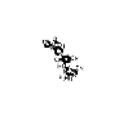 CCNc1nc(Nc2cc(C#N)cc(N3CC[C@@H]4[C@@H](C3)OC(=O)N4[C@H]3CCOC3)c2Cl)nn2c(C#N)cnc12